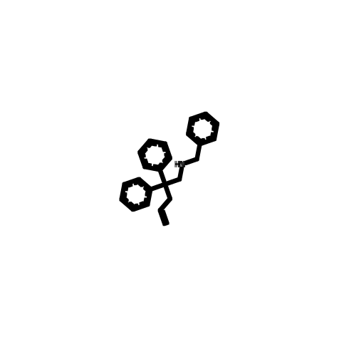 C=CCC(CNCc1ccccc1)(c1ccccc1)c1ccccc1